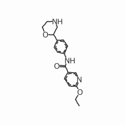 CCOc1ccc(C(=O)Nc2ccc(C3CNCCO3)cc2)cn1